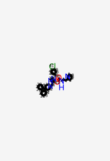 O=C(NCCc1ccccn1)Oc1c(CN2CCC(c3ccccc3)(c3ccccc3)CC2)ncn1Cc1ccc(Cl)cc1